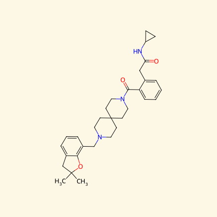 CC1(C)Cc2cccc(CN3CCC4(CC3)CCN(C(=O)c3ccccc3CC(=O)NC3CC3)CC4)c2O1